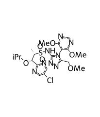 COCc1nnc(NS(=O)(=O)[C@@H](C)[C@@H](OC(C)C)c2ncc(Cl)cn2)n1-c1c(OC)ncnc1OC